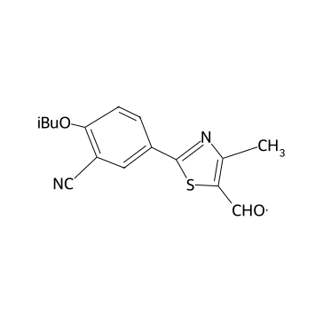 Cc1nc(-c2ccc(OCC(C)C)c(C#N)c2)sc1[C]=O